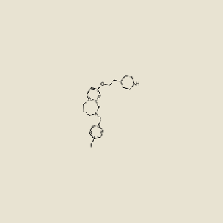 Fc1ccc(CN2CCCc3ccc(OCCC4CCNCC4)cc3C2)cc1